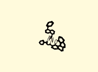 c1ccc(-c2cc(-c3ccc4ccc5ccc6cccc7c6c5c4c3O7)nc(-c3cccc4c(-c5ccccc5)cccc34)n2)cc1